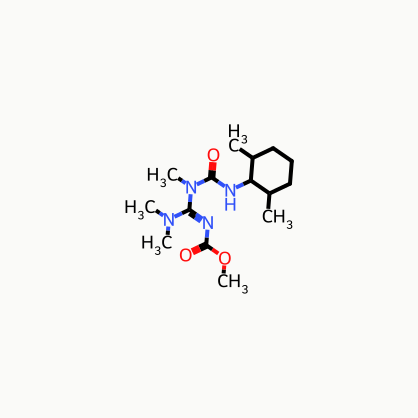 COC(=O)N=C(N(C)C)N(C)C(=O)NC1C(C)CCCC1C